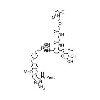 CCCCCNc1nc(N)nc2ccn(Cc3ccc(CN4CCN(CCO[PH](O)(O)OCc5ccc(O[C@@H]6OCC(O)[C@H](O)[C@H]6O)c(NC(=O)CCNC(=O)CCOCCN6C(=O)C=CC6=O)c5)CC4)cc3OC)c12